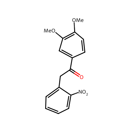 COc1ccc(C(=O)Cc2ccccc2[N+](=O)[O-])cc1OC